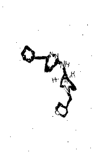 c1ccc(-c2ccc(NC3[C@H]4CN(CC5CCOCC5)C[C@@H]34)nn2)cc1